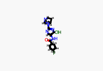 Cl.O=C(Nc1cnc(N2CCN3CCC2CC3)nc1)c1ccc(F)cc1